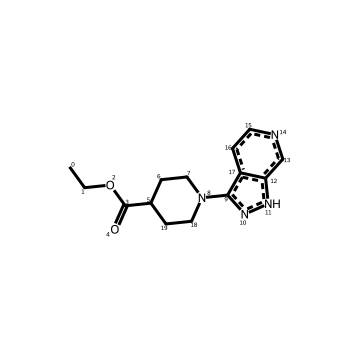 CCOC(=O)C1CCN(c2n[nH]c3cnccc23)CC1